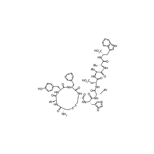 CC[C@H](C)[C@H](NC(=O)[C@H](CC(=O)O)NC(=O)[C@H](CC(C)C)NC(=O)[C@H](Cc1cnc[nH]1)NC(=O)[C@@H]1CSSC[C@H](N)C(=O)N[C@@H](C(C)C)C(=O)N[C@@H](Cc2ccc(O)cc2)C(=O)N[C@@H](Cc2ccccc2)C(=O)N1)C(=O)N[C@H](C(=O)N[C@@H](Cc1c[nH]c2ccccc12)C(=O)O)[C@@H](C)CC